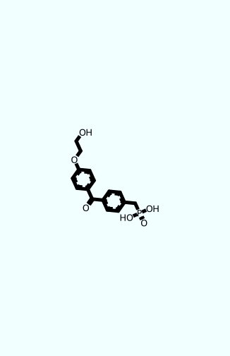 O=C(c1ccc(CP(=O)(O)O)cc1)c1ccc(OCCO)cc1